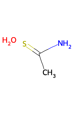 CC(N)=S.O